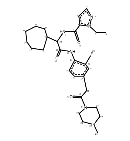 CCn1nccc1C(=O)NC(C(=O)Nc1ccc(CC(=O)N2CCN(C)CC2)cc1F)C1CCCCCC1